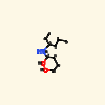 CCCC(CC)N[C]1CCCOO1